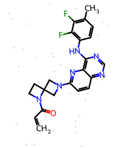 C=CC(=O)N1CCC12CN(c1ccc3ncnc(Nc4ccc(C)c(F)c4F)c3n1)C2